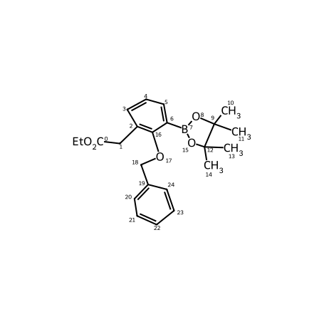 CCOC(=O)Cc1cccc(B2OC(C)(C)C(C)(C)O2)c1OCc1ccccc1